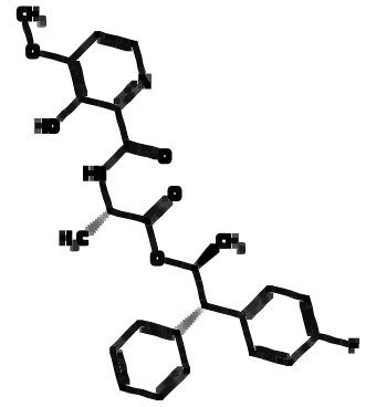 COc1ccnc(C(=O)N[C@@H](C)C(=O)O[C@@H](C)[C@@H](c2ccccc2)c2ccc(F)cc2)c1O